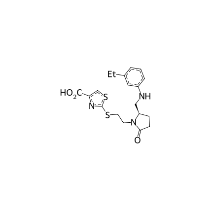 CCc1cccc(NC[C@H]2CCC(=O)N2CCSc2nc(C(=O)O)cs2)c1